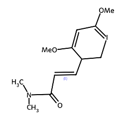 COC1=CC(OC)=ICC1/C=C/C(=O)N(C)C